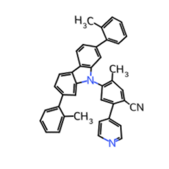 Cc1ccccc1-c1ccc2c3ccc(-c4ccccc4C)cc3n(-c3cc(-c4ccncc4)c(C#N)cc3C)c2c1